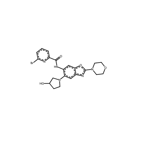 O=C(Nc1cc2oc(N3CCOCC3)nc2cc1N1CCC(O)C1)c1cccc(Br)n1